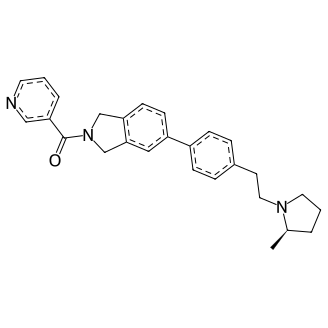 C[C@@H]1CCCN1CCc1ccc(-c2ccc3c(c2)CN(C(=O)c2cccnc2)C3)cc1